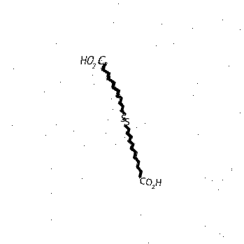 O=C(O)CCCCCCCCCCCCCSSCCCCCCCCCCCCCC(=O)O